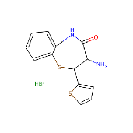 Br.NC1C(=O)Nc2ccccc2SC1c1cccs1